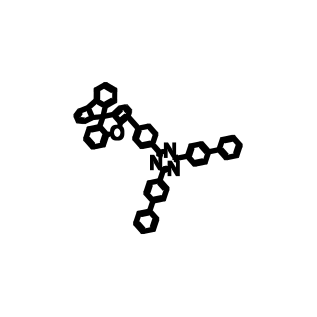 C1=CC2c3ccccc3C3(c4ccccc4Oc4c(C5=CC=C(c6nc(-c7ccc(-c8ccccc8)cc7)nc(-c7ccc(-c8ccccc8)cc7)n6)CC5)cccc43)C2C=C1